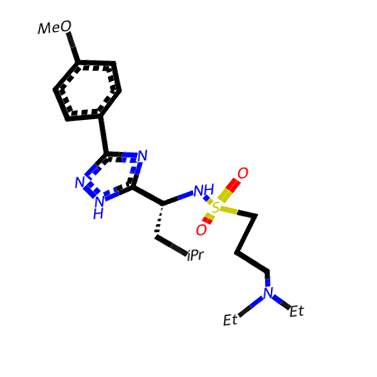 CCN(CC)CCCS(=O)(=O)N[C@H](CC(C)C)c1nc(-c2ccc(OC)cc2)n[nH]1